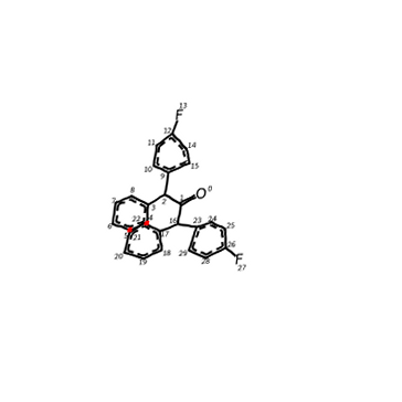 O=C(C(c1ccccc1)c1ccc(F)cc1)C(c1ccccc1)c1ccc(F)cc1